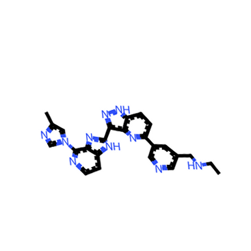 CCNCc1cncc(-c2ccc3[nH]nc(-c4nc5c(-n6cnc(C)c6)nccc5[nH]4)c3n2)c1